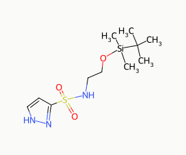 CC(C)(C)[Si](C)(C)OCCNS(=O)(=O)c1cc[nH]n1